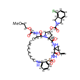 C=C[C@@H]1C[C@@]12NC(=O)[C@@H]1C[C@@H](OC(=O)N3Cc4cccc(F)c4C3)CN1C(=O)[C@@H](NC(=O)OCCOC)CCCCCCCNc1ccccc1S(=O)(=O)NC2=O